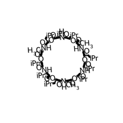 CC(C)C[C@H]1OC(=O)[C@H](C(C)C)NC(=O)C(C(C)C)OC(=O)[C@@H](C)NC(=O)[C@@H](CC(C)C)OC(=O)[C@H](C(C)C)NC(=O)[C@H](C(C)C)OC(=O)[C@@H](C)NC(=O)[C@@H](CC(C)C)OC(=O)[C@H](C(C)C)NC(=O)[C@H](C(C)C)OC(=O)[C@@H](C)NC1=O